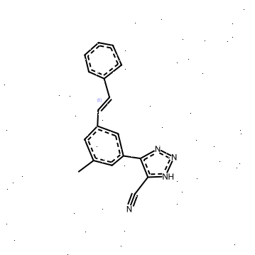 Cc1cc(/C=C/c2ccccc2)cc(-c2nn[nH]c2C#N)c1